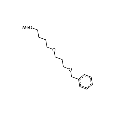 COCCCCOCCCOCc1ccccc1